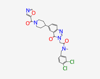 CN(Cc1ccc(Cl)c(Cl)c1)C(=O)Cn1cnc2ccc(C3CCN(C(=O)c4cnco4)CC3)cc2c1=O